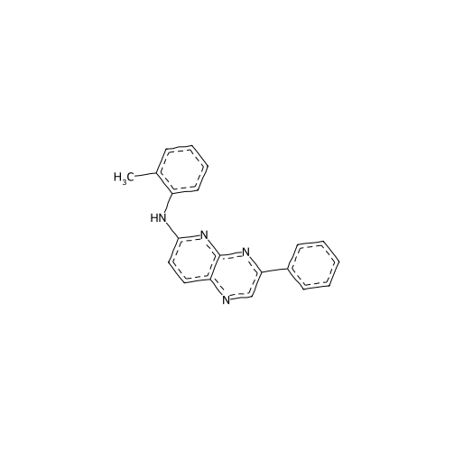 Cc1ccccc1Nc1ccc2ncc(-c3ccccc3)nc2n1